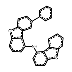 c1ccc(-c2ccc3oc4cccc(Nc5cccc6sc7ccccc7c56)c4c3c2)cc1